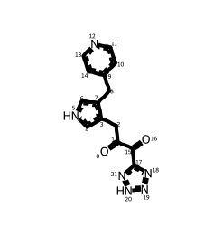 O=C(Cc1c[nH]cc1Cc1ccncc1)C(=O)c1nn[nH]n1